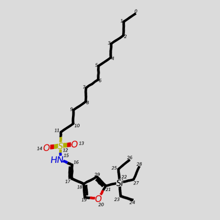 CCCCCCCCCCCCS(=O)(=O)N/C=C/c1coc([Si](CC)(CC)CC)c1